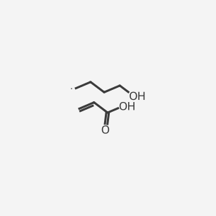 C=CC(=O)O.[CH2]CCCO